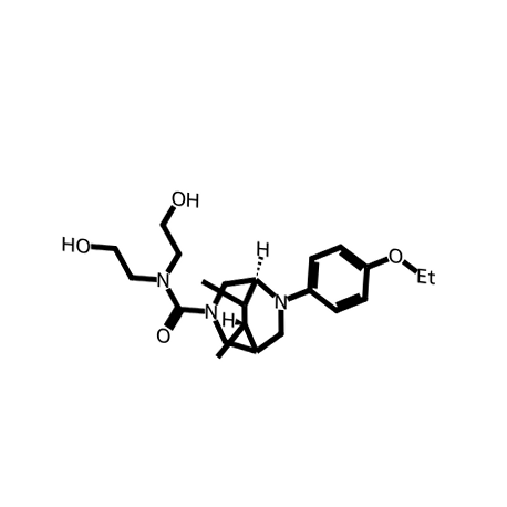 CCOc1ccc(N2CC3CN(C(=O)N(CCO)CCO)C[C@@H]2C(C)[C@H]3C)cc1